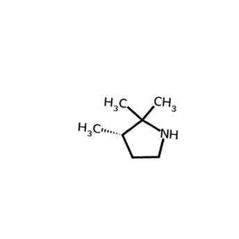 C[C@H]1CCNC1(C)C